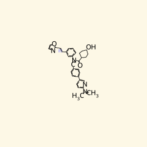 CN(C)c1ccc(-c2ccc(CN(C(=O)C3CCC(O)CC3)c3cccc(/C=C/c4ncco4)c3)cc2)cn1